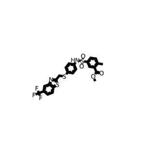 COC(=O)c1cc(S(=O)(=O)Nc2ccc(SCc3nc4cc(C(F)(F)F)ccc4s3)cc2)ccc1C